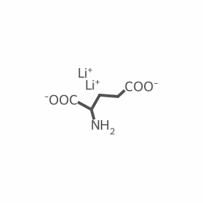 NC(CCC(=O)[O-])C(=O)[O-].[Li+].[Li+]